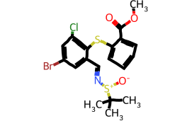 COC(=O)c1ccccc1Sc1c(Cl)cc(Br)cc1C=N[S+]([O-])C(C)(C)C